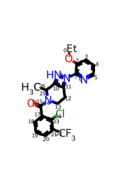 CCOc1cccnc1-n1[nH]c2c1CCN(C(=O)c1cccc(C(F)(F)F)c1Cl)C2C